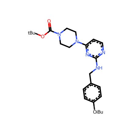 CC(C)COc1ccc(CNc2nccc(N3CCN(C(=O)OC(C)(C)C)CC3)n2)cc1